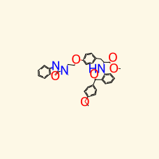 COC(=O)C(Cc1ccc(OCCN(C)c2nc3ccccc3o2)cc1)Nc1ccccc1C(=O)c1ccc(OC)cc1